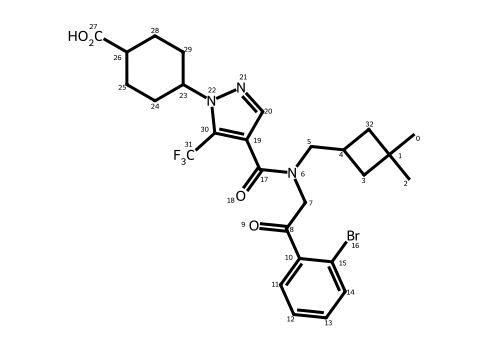 CC1(C)CC(CN(CC(=O)c2ccccc2Br)C(=O)c2cnn(C3CCC(C(=O)O)CC3)c2C(F)(F)F)C1